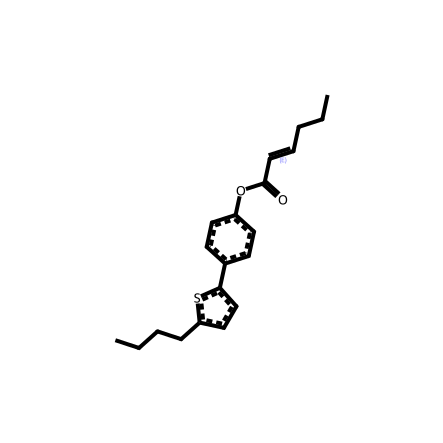 CCC/C=C/C(=O)Oc1ccc(-c2ccc(CCCC)s2)cc1